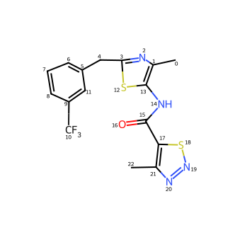 Cc1nc(Cc2cccc(C(F)(F)F)c2)sc1NC(=O)c1snnc1C